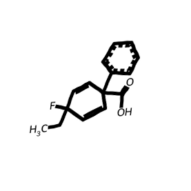 CCC1(F)C=CC(C(=O)O)(c2ccccc2)C=C1